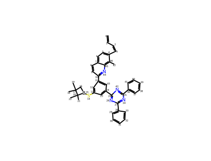 C=C/C=C\c1ccc2ccc(-c3cc(SB4CC(C)(C)C4(C)C)cc(-c4nc(-c5ccccc5)nc(-c5ccccc5)n4)c3)nc2c1C